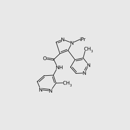 Cc1nnccc1NC(=O)c1cnn(C(C)C)c1-c1ccnnc1C